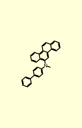 CN(c1ccc(-c2ccccc2)cc1)c1cc2c3ccccc3ccc2c2ccccc12